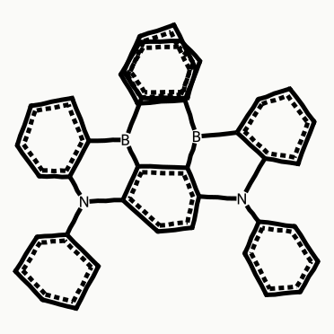 c1ccc(B2c3ccccc3N(c3ccccc3)c3ccc4c(c32)B(c2ccccc2)c2ccccc2N4c2ccccc2)cc1